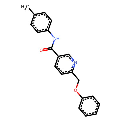 Cc1ccc(NC(=O)c2ccc(COc3ccccc3)nc2)cc1